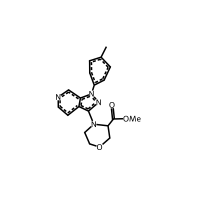 COC(=O)C1COCCN1c1nn(-c2ccc(C)cc2)c2cnccc12